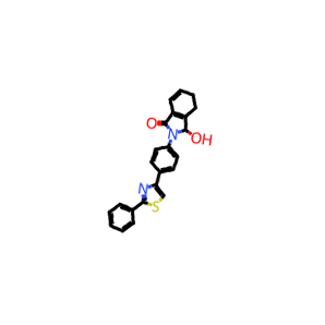 O=C1C2=C(CCC=C2)C(O)N1c1ccc(-c2csc(-c3ccccc3)n2)cc1